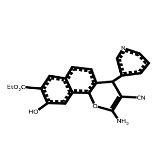 CCOC(=O)c1cc2ccc3c(c2cc1O)OC(N)=C(C#N)C3c1cccnc1